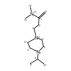 C=C(CCN1CCN(C(C)C)CC1)N(C)C